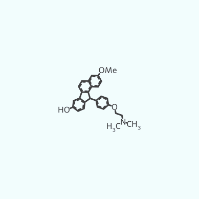 COc1ccc2c3c(ccc2c1)-c1cc(O)ccc1C3c1ccc(OCCN(C)C)cc1